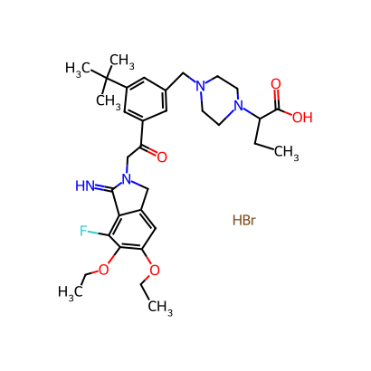 Br.CCOc1cc2c(c(F)c1OCC)C(=N)N(CC(=O)c1cc(CN3CCN(C(CC)C(=O)O)CC3)cc(C(C)(C)C)c1)C2